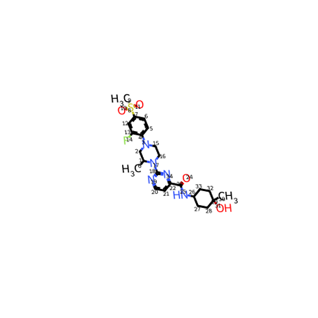 CC1CN(c2ccc(S(C)(=O)=O)cc2F)CCN1c1nccc(C(=O)NC2CCC(C)(O)CC2)n1